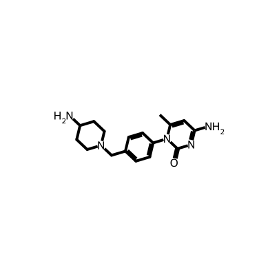 Cc1cc(N)nc(=O)n1-c1ccc(CN2CCC(N)CC2)cc1